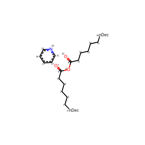 CCCCCCCCCCCCCCCC(=O)OC(=O)CCCCCCCCCCCCCCC.c1ccncc1